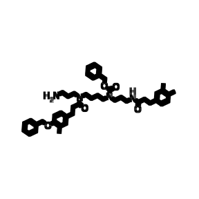 Cc1ccc(CCC(=O)NCCCN(CCCCN(CCCN)C(=O)CCc2ccc(OCc3ccccc3)c(C)c2)C(=O)OCc2ccccc2)cc1C